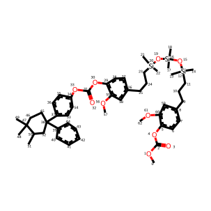 COC(=O)Oc1ccc(CCC[Si](C)(C)O[Si](C)(C)O[Si](C)(C)CCCc2ccc(OC(=O)Oc3ccc(C4(c5ccccc5)CCC(C)(C)C(C)C4)cc3)c(OC)c2)cc1OC